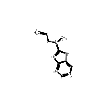 C=CCN(C)c1nc2ncncc2[nH]1